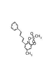 Cc1cc(/C=C/C=C/c2ccccc2)n(OS(C)(=O)=O)c(=O)c1